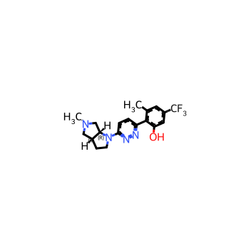 Cc1cc(C(F)(F)F)cc(O)c1-c1ccc(N2CC[C@@H]3CN(C)C[C@@H]32)nn1